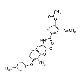 C=CCc1cc(C(=O)Nc2cc3ccc(OC4CCN(C)CC4)c(C)c3oc2=O)ccc1OC(C)=O